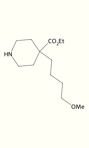 CCOC(=O)C1(CCCCOC)CCNCC1